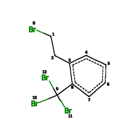 BrCCc1ccccc1C(Br)(Br)Br